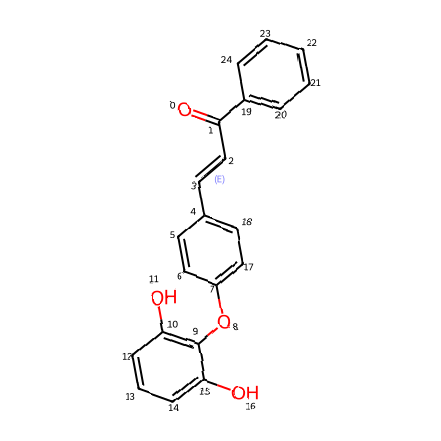 O=C(/C=C/c1ccc(Oc2c(O)cccc2O)cc1)c1ccccc1